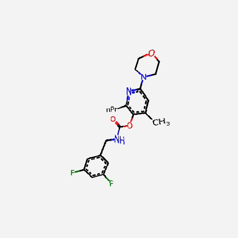 CCCc1nc(N2CCOCC2)cc(C)c1OC(=O)NCc1cc(F)cc(F)c1